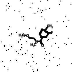 COCCN(C)C(=O)c1ccc(C)c(F)c1